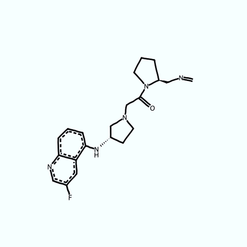 C=NC[C@@H]1CCCN1C(=O)CN1CC[C@H](Nc2cccc3ncc(F)cc23)C1